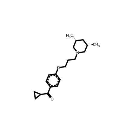 C[C@@H]1C[C@H](C)CN(CCCOc2ccc(C(=O)C3CC3)cc2)C1